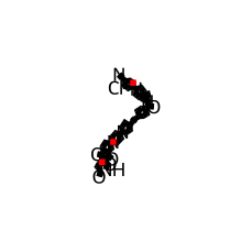 N#Cc1ccc(N2CCC3(CCN(C(=O)c4ccc(C#CC5CCN(C6CCN(c7ccc8c(c7)C(=O)N(C7CCC(=O)NC7=O)C8=O)CC6)CC5)cc4)C3)CC2)cc1Cl